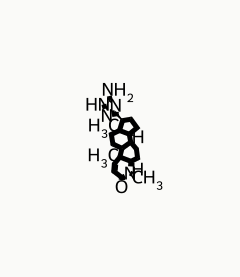 CN1C(=O)C=C[C@]2(C)C3CC[C@]4(C)[C@@H](c5n[nH]c(N)n5)CC[C@H]4C3CC[C@@H]12